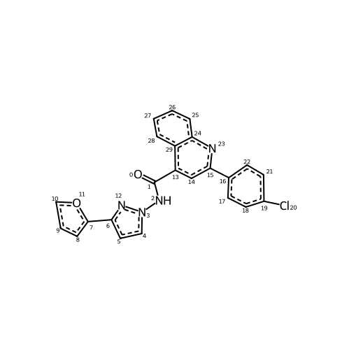 O=C(Nn1ccc(-c2ccco2)n1)c1cc(-c2ccc(Cl)cc2)nc2ccccc12